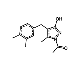 CC(=O)n1nc(O)c(Cc2ccc(C)c(C)c2)c1C